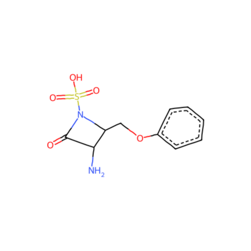 NC1C(=O)N(S(=O)(=O)O)C1COc1ccccc1